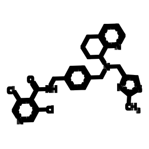 Cc1nc(CN(Cc2ccc(CNC(=O)c3c(Cl)cncc3Cl)cc2)C2CCCc3cccnc32)cs1